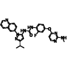 CNc1nccc(Oc2ccc(NC(=O)Nc3cc(C(C)C)nn3-c3ccc4ncccc4c3)c(F)c2)n1